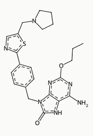 CCCOc1nc(N)c2[nH]c(=O)n(Cc3ccc(-c4ncc(CN5CCCC5)s4)cc3)c2n1